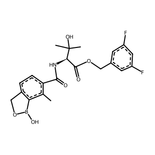 Cc1c(C(=O)N[C@H](C(=O)OCc2cc(F)cc(F)c2)C(C)(C)O)ccc2c1B(O)OC2